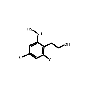 OCCc1c(Cl)cc(Cl)cc1NS